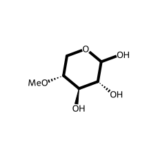 CO[C@@H]1COC(O)[C@H](O)[C@H]1O